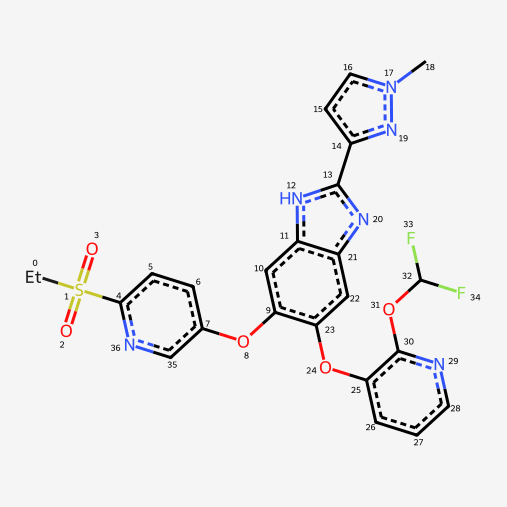 CCS(=O)(=O)c1ccc(Oc2cc3[nH]c(-c4ccn(C)n4)nc3cc2Oc2cccnc2OC(F)F)cn1